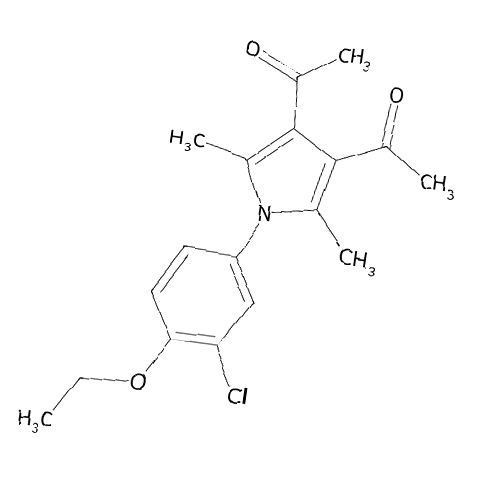 CCOc1ccc(-n2c(C)c(C(C)=O)c(C(C)=O)c2C)cc1Cl